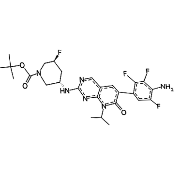 CC(C)n1c(=O)c(-c2cc(F)c(N)c(F)c2F)cc2cnc(N[C@H]3C[C@H](F)CN(C(=O)OC(C)(C)C)C3)nc21